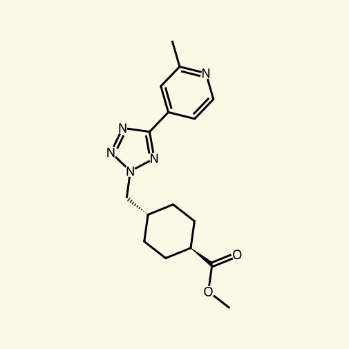 COC(=O)[C@H]1CC[C@H](Cn2nnc(-c3ccnc(C)c3)n2)CC1